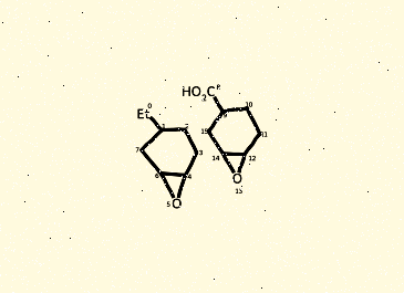 CCC1CCC2OC2C1.O=C(O)C1CCC2OC2C1